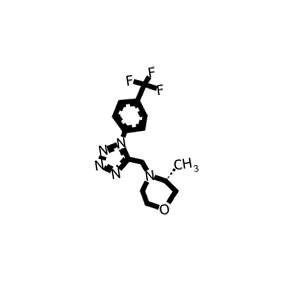 C[C@@H]1COCCN1Cc1nnnn1-c1ccc(C(F)(F)F)cc1